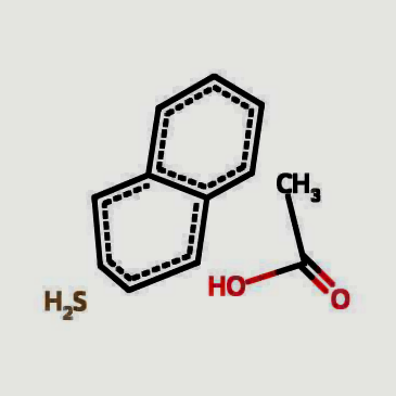 CC(=O)O.S.c1ccc2ccccc2c1